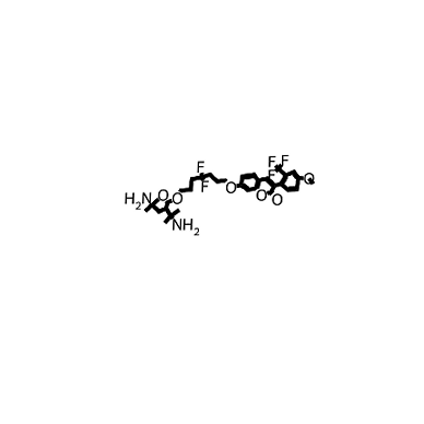 COc1ccc(-c2cc3ccc(OCCCC(F)(F)CCCOC(=O)C(CC(C)(C)N)C(C)(C)N)cc3oc2=O)c(C(F)(F)F)c1